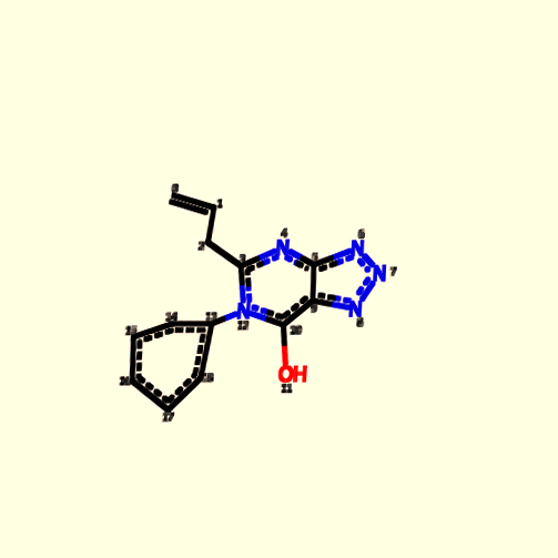 C=CCc1nc2nnnc-2c(O)n1-c1ccccc1